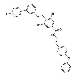 O=C(NCCc1ccc(Oc2ccccc2)cc1)c1cc(Br)c(C[CH]c2cccc(-c3ccc(F)cc3)c2)c(Br)c1